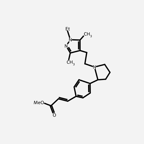 CCn1nc(C)c(CCN2CCCC2c2ccc(C=CC(=O)OC)cc2)c1C